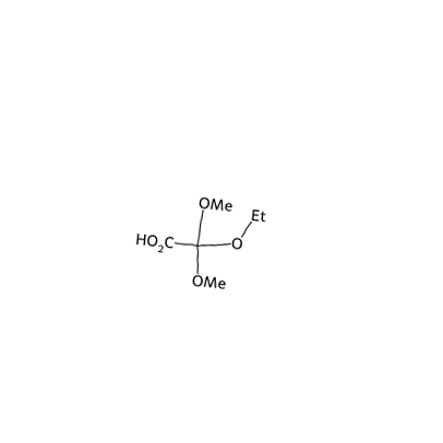 CCOC(OC)(OC)C(=O)O